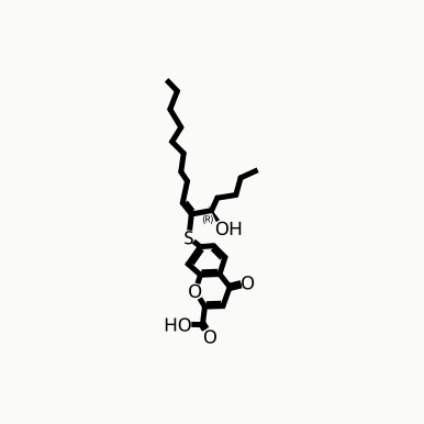 CCCCCCCCC=C(Sc1ccc2c(=O)cc(C(=O)O)oc2c1)[C@H](O)CCCC